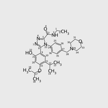 CCNC(=O)c1nnc(-c2cc(C(C)C)c(OC(C)C)cc2O)n1-c1ccc(CN2CCOCC2)cc1